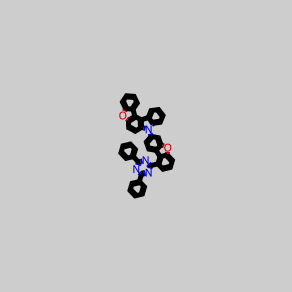 c1ccc(-c2nc(-c3ccccc3)nc(-c3cccc4oc5cc(-n6c7ccccc7c7c8c(ccc76)oc6ccccc68)ccc5c34)n2)cc1